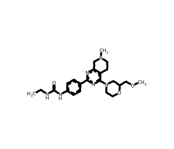 CCNC(=O)Nc1ccc(-c2nc3c(c(N4CCOC(COC)C4)n2)CCN(C)C3)cc1